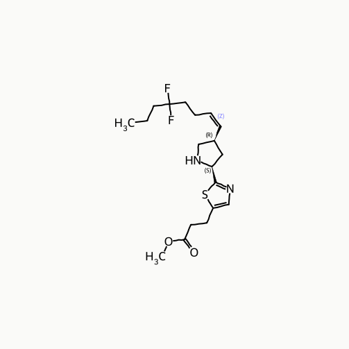 CCCC(F)(F)CC/C=C\[C@@H]1CN[C@H](c2ncc(CCC(=O)OC)s2)C1